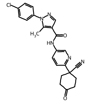 Cc1c(C(=O)Nc2ccc(C3(C#N)CCC(=O)CC3)nc2)cnn1-c1ccc(Cl)cc1